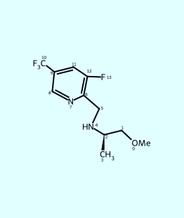 COC[C@@H](C)NCc1ncc(C(F)(F)F)cc1F